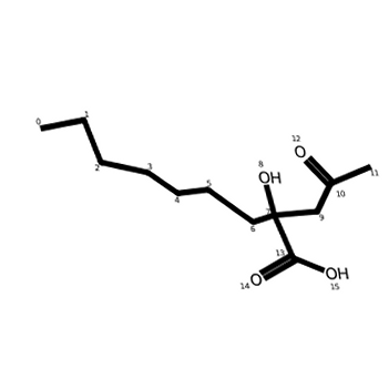 CCCCCCCC(O)(CC(C)=O)C(=O)O